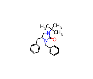 CC(C)(C)N1CC(Cc2ccccc2)N(Cc2ccccc2)C1=O